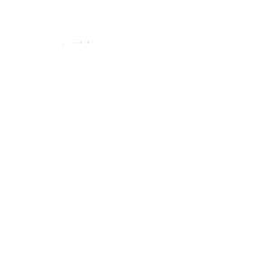 O=[C]Oc1cccc2c1ccc1ccccc12